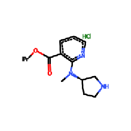 CC(C)OC(=O)c1cccnc1N(C)[C@@H]1CCNC1.Cl